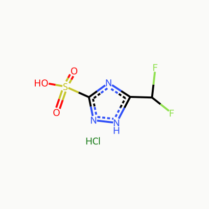 Cl.O=S(=O)(O)c1n[nH]c(C(F)F)n1